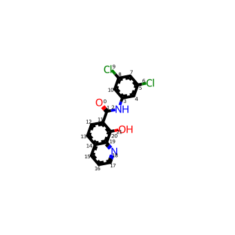 O=C(Nc1cc(Cl)cc(Cl)c1)c1ccc2cccnc2c1O